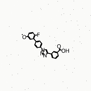 COc1ccc(F)c(-c2ccc(-n3cc(-c4cccc(C(=O)O)c4)nn3)cc2)c1